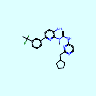 C=C(Nc1ccnc(CC2CCCC2)n1)N(C)c1nc(-c2cccc(C(C)(F)F)c2)ccc1N